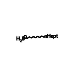 BOCCCCCCCCCCCCCCCC